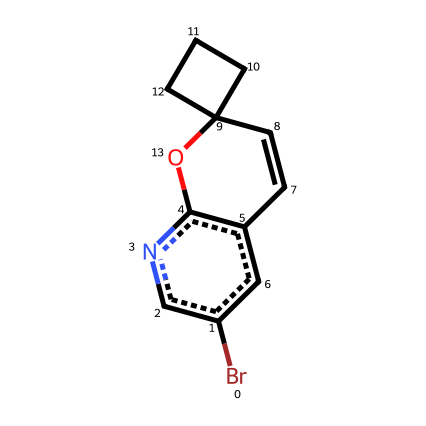 Brc1cnc2c(c1)C=CC1(CCC1)O2